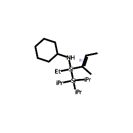 C/C=C(\C)[Si](CC)(NC1CCCCC1)[Si](C(C)C)(C(C)C)C(C)C